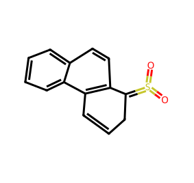 O=S(=O)=C1CC=Cc2c1ccc1ccccc21